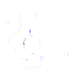 O=C1NCN(CCC(F)(F)F)C12CCN([C@@H]1CCCC[C@]1(O)c1ccccc1)CC2